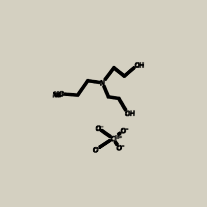 OCCN(CCO)CCO.[Na+].[O-][Cl+3]([O-])([O-])[O-]